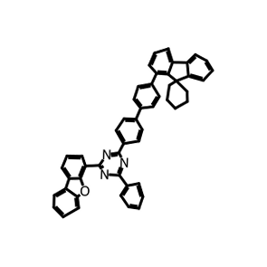 c1ccc(-c2nc(-c3ccc(-c4ccc(-c5cccc6c5C5(CCCCC5)c5ccccc5-6)cc4)cc3)nc(-c3cccc4c3oc3ccccc34)n2)cc1